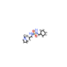 CN1CCC[C@H]1CCCNS(=O)(=O)NCC1CCCCC1